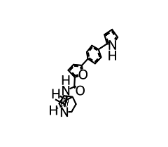 C[C@H]1[C@H](NC(=O)c2ccc(-c3ccc(-c4ccc[nH]4)cc3)o2)C2CCN1CC2